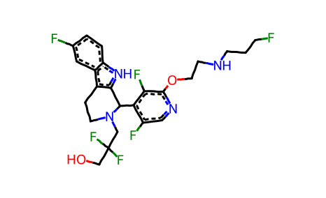 OCC(F)(F)CN1CCc2c([nH]c3ccc(F)cc23)C1c1c(F)cnc(OCCNCCCF)c1F